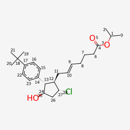 CC(C)OC(=O)CCCC=CC[C@@H]1[C@@H](c2ccc(C(C)(C)C)cc2)[C@H](O)C[C@H]1Cl